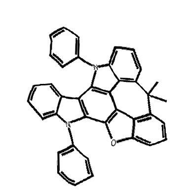 CC1(C)c2cccc3oc4c(c23)c2c3c1cccc3n(-c1ccccc1)c2c1c2ccccc2n(-c2ccccc2)c41